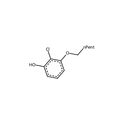 CCCCCCOc1cccc(O)c1Cl